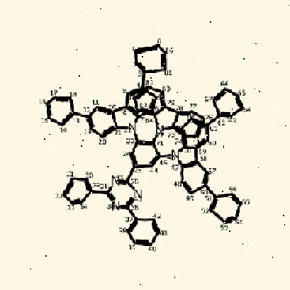 c1ccc(-c2ccc3c(c2)c2cc(-c4ccccc4)ccc2n3-c2cc(-c3nc(-c4ccccc4)nc(-c4ccccc4)n3)cc(-n3c4ccc(-c5ccccc5)cc4c4cc(-c5ccccc5)ccc43)c2-n2c3ccccc3c3ccccc32)cc1